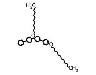 CCCCCCCCCCCCOc1ccc(C2=CCC(OCCCCCCCCCCCC)(c3ccc(-c4ccccc4)cc3)C=C2)cc1